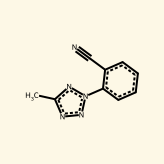 Cc1nnn(-c2ccccc2C#N)n1